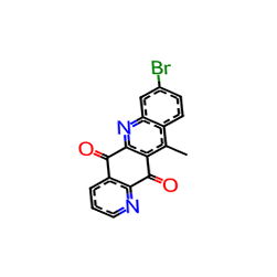 Cc1c2c(nc3cc(Br)ccc13)C(=O)c1cccnc1C2=O